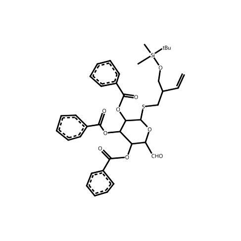 C=CC(CO[Si](C)(C)C(C)(C)C)CSC1OC(C=O)C(OC(=O)c2ccccc2)C(OC(=O)c2ccccc2)C1OC(=O)c1ccccc1